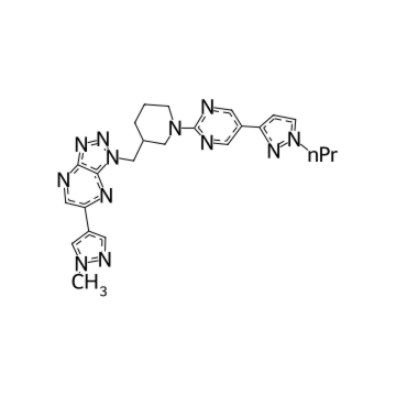 CCCn1ccc(-c2cnc(N3CCCC(Cn4nnc5ncc(-c6cnn(C)c6)nc54)C3)nc2)n1